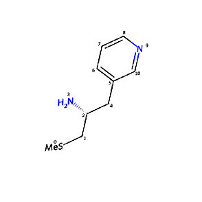 CSC[C@H](N)Cc1cccnc1